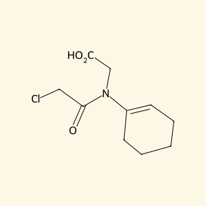 O=C(O)CN(C(=O)CCl)C1=CCCCC1